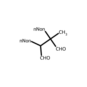 CCCCCCCCCC(C=O)C(C)(C=O)CCCCCCCCC